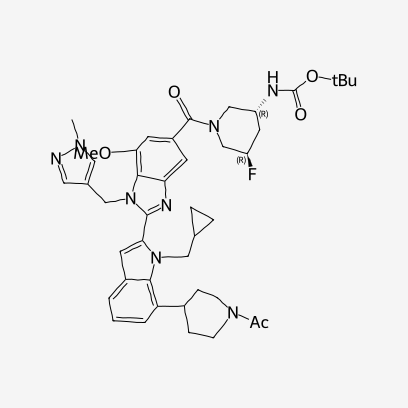 COc1cc(C(=O)N2C[C@H](F)C[C@@H](NC(=O)OC(C)(C)C)C2)cc2nc(-c3cc4cccc(C5CCN(C(C)=O)CC5)c4n3CC3CC3)n(Cc3cnn(C)c3)c12